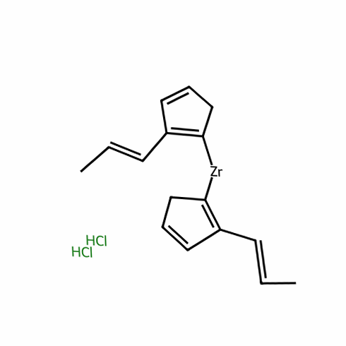 CC=CC1=[C]([Zr][C]2=C(C=CC)C=CC2)CC=C1.Cl.Cl